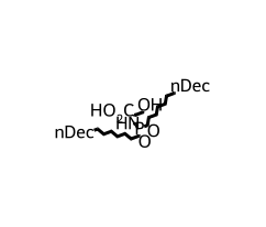 CCCCCCCCCCCCCCCCC(=O)P(NC(CO)C(=O)O)C(=O)CCCCCCCCCCCCCCCC